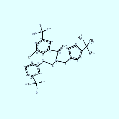 CC(C)(C)c1ccc(CN(CCc2cccc(C(F)(F)F)c2)C(=O)c2cc(Cl)cc(C(F)(F)F)c2)cc1